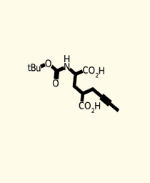 CC#CCC(CC(NC(=O)OC(C)(C)C)C(=O)O)C(=O)O